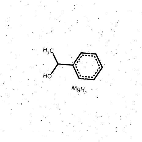 CC(O)c1ccccc1.[MgH2]